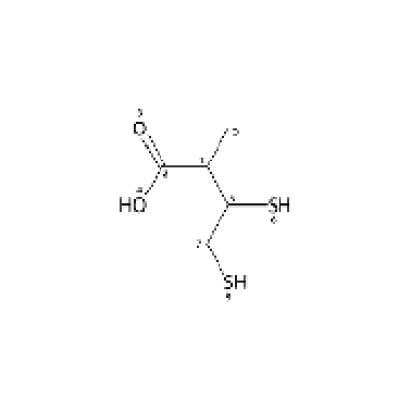 CC(C(=O)O)C(S)CS